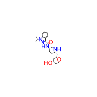 CC(C)n1nc(C(=O)N[C@H]2CC[C@@H](CC3CC(O)CCO3)NC2)c2ccccc21